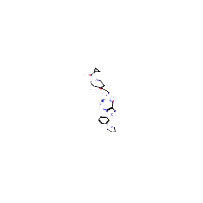 O=C(C1CC1)N1CCC(O)(Cn2cnc3c(cnn3-c3cccc(N4CCCC4)c3)c2=O)CC1